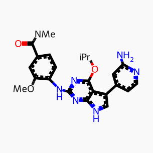 CNC(=O)c1ccc(Nc2nc(OC(C)C)c3c(-c4ccnc(N)c4)c[nH]c3n2)c(OC)c1